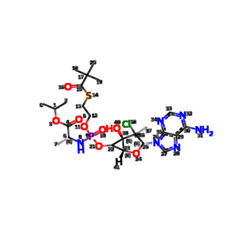 CC(C)OC(=O)[C@@H](C)NP(=O)(OCCSC(=O)C(C)(C)C)OC1[C@H]2O[C@@H](n3cnc4c(N)ncnc43)[C@](C)(Cl)[C@@]12O